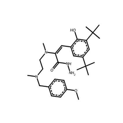 COc1ccc(CN(C)CCN(C)C(=Cc2cc(C(C)(C)C)cc(C(C)(C)C)c2O)C(=O)NN)cc1